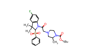 CC1CN(CC(=O)N2c3ccc(F)cc3C(C)(C)C2S(=O)(=O)c2ccccc2)CCN1C(=O)OC(C)(C)C